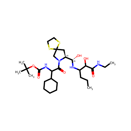 CCCC(N[C@@H](O)[C@@H]1CC2(CN1C(=O)C(NC(=O)OC(C)(C)C)C1CCCCC1)SCCS2)C(O)C(=O)NCC